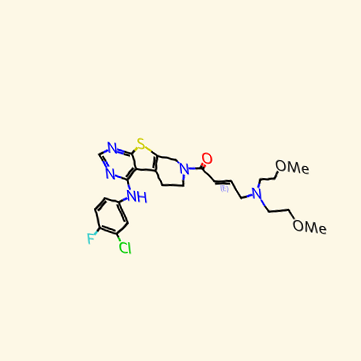 COCCN(C/C=C/C(=O)N1CCc2c(sc3ncnc(Nc4ccc(F)c(Cl)c4)c23)C1)CCOC